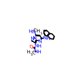 CNC(=O)Nc1cnn2c(NC)cc(Nc3cccc4c3CCCC4)nc12